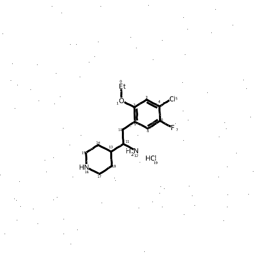 CCOc1cc(Cl)c(F)cc1CC(N)C1CCNCC1.Cl